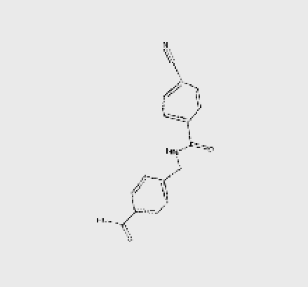 N#Cc1ccc(C(=O)NCc2ccc(C(=O)O)cc2)cc1